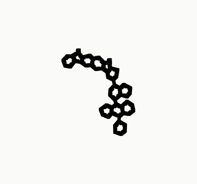 c1ccc(-c2c3ccccc3c(-c3ccc(-c4ccc5sc6cc7cc8sc9ccccc9c8cc7cc6c5c4)c4ccccc34)c3ccccc23)cc1